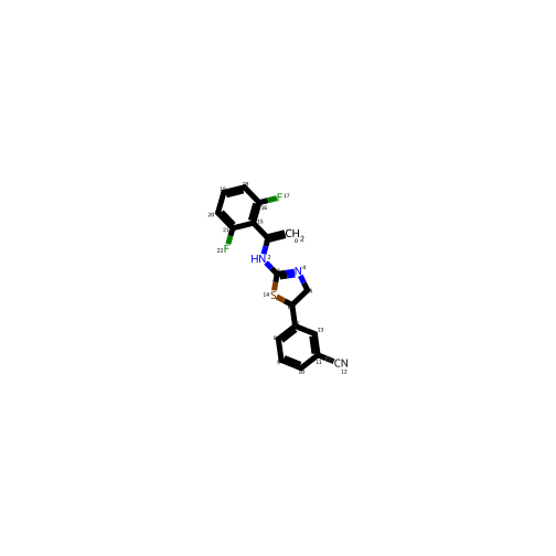 C=C(NC1=NCC(c2cccc(C#N)c2)S1)c1c(F)cccc1F